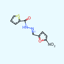 O=C(N/N=C/c1ccc([N+](=O)[O-])o1)c1cccs1